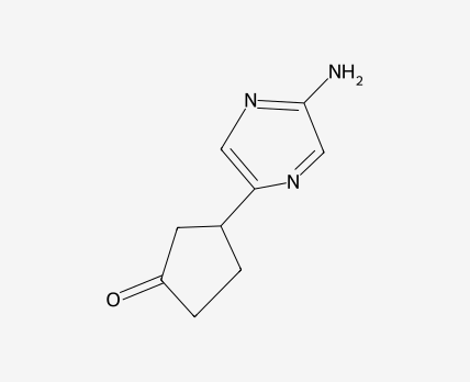 Nc1cnc(C2CCC(=O)C2)cn1